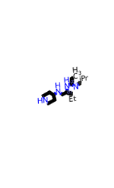 C/C=C(\N=C/C(C)C)N/C(=C/CC)CNC1CCNCC1